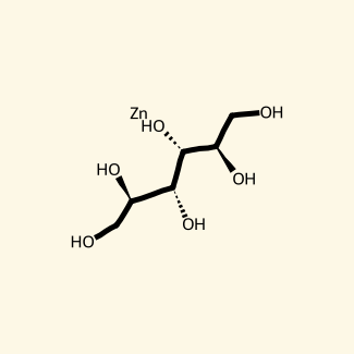 OC[C@@H](O)[C@@H](O)[C@H](O)[C@H](O)CO.[Zn]